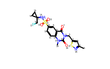 Cc1cc(Cn2c(=O)c3cc(S(=O)(=O)NC4(CF)CC4)ccc3n(C)c2=O)sn1